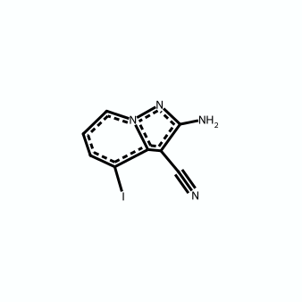 N#Cc1c(N)nn2cccc(I)c12